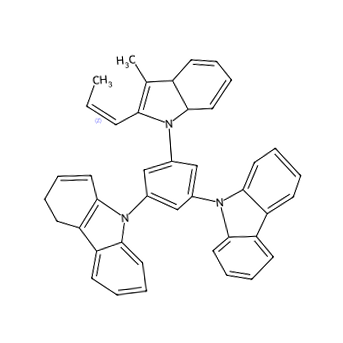 C/C=C\C1=C(C)C2C=CC=CC2N1c1cc(-n2c3c(c4ccccc42)CCC=C3)cc(-n2c3ccccc3c3ccccc32)c1